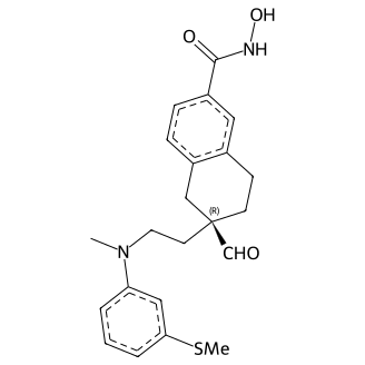 CSc1cccc(N(C)CC[C@@]2(C=O)CCc3cc(C(=O)NO)ccc3C2)c1